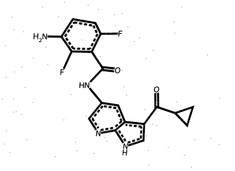 Nc1ccc(F)c(C(=O)Nc2cnc3[nH]cc(C(=O)C4CC4)c3c2)c1F